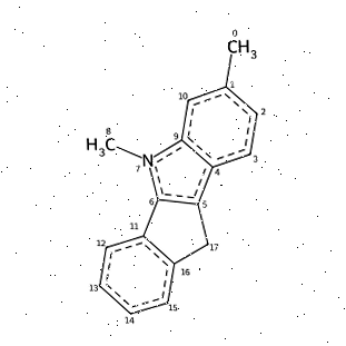 Cc1ccc2c3c(n(C)c2c1)-c1ccccc1C3